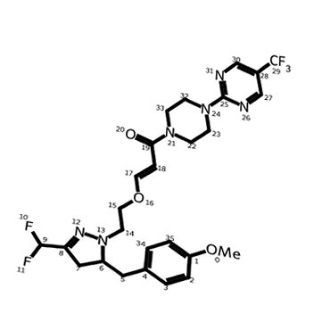 COc1ccc(CC2CC(C(F)F)=NN2CCOC=CC(=O)N2CCN(c3ncc(C(F)(F)F)cn3)CC2)cc1